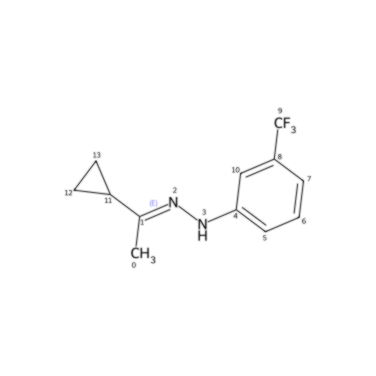 C/C(=N\Nc1cccc(C(F)(F)F)c1)C1CC1